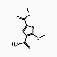 COC(=O)c1cc(C(N)=S)c(SC)s1